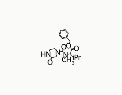 CC(C)C(C(=O)OCc1ccccc1)N(C)C(=O)N1CCNC(=O)C1